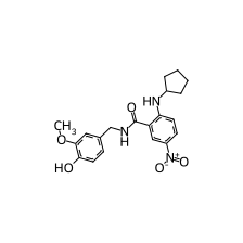 COc1cc(CNC(=O)c2cc([N+](=O)[O-])ccc2NC2CCCC2)ccc1O